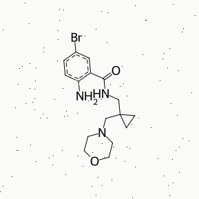 Nc1ccc(Br)cc1C(=O)NCC1(CN2CCOCC2)CC1